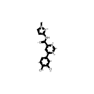 Cn1ccc(NC(=O)c2cc(-c3ccc(Cl)c(Cl)c3)ncn2)n1